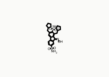 NS(=O)(=O)c1ccc2c(c1)C(=NO)c1c-2cc(CC2CCCC2)c(S(N)(=O)=O)c1CC1CCCC1